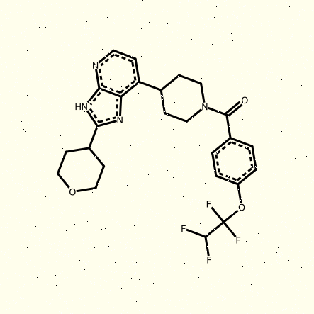 O=C(c1ccc(OC(F)(F)C(F)F)cc1)N1CCC(c2ccnc3[nH]c(C4CCOCC4)nc23)CC1